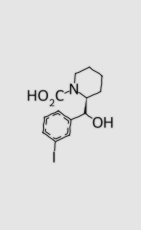 O=C(O)N1CCCC[C@H]1C(O)c1cccc(I)c1